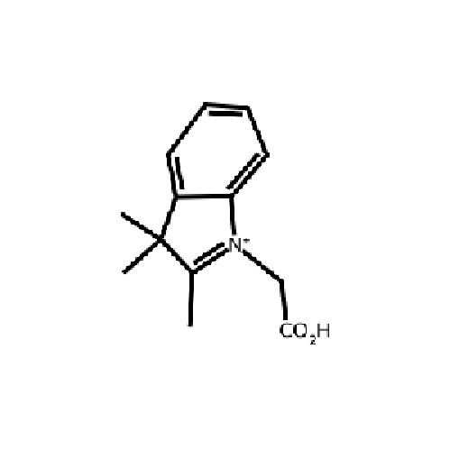 CC1=[N+](CC(=O)O)c2ccccc2C1(C)C